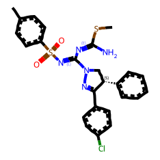 CS/C(N)=N/C(=N\S(=O)(=O)c1ccc(C)cc1)N1C[C@H](c2ccccc2)C(c2ccc(Cl)cc2)=N1